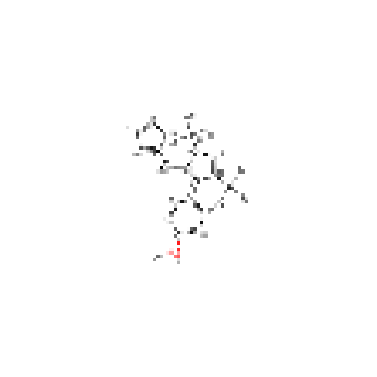 COc1ccc(C2=[C]([Zr][C]3=CC=CC3)C(C(C)(C)C)C=C2C(C)(C)C)cc1